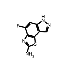 Nc1nc2c(F)cc3[nH]ncc3c2s1